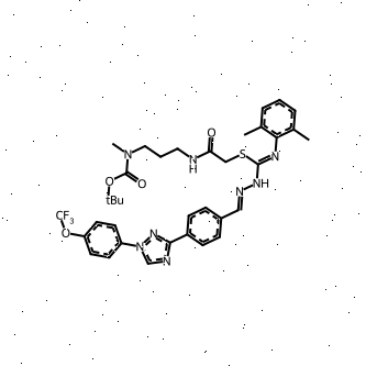 Cc1cccc(C)c1/N=C(/N/N=C/c1ccc(-c2ncn(-c3ccc(OC(F)(F)F)cc3)n2)cc1)SCC(=O)NCCCN(C)C(=O)OC(C)(C)C